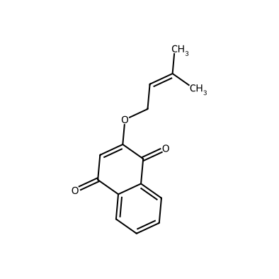 CC(C)=CCOC1=CC(=O)c2ccccc2C1=O